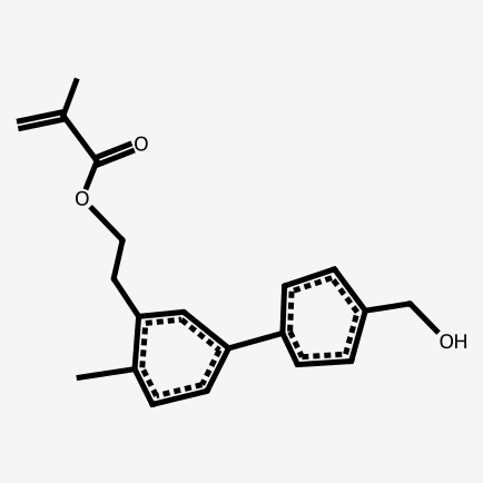 C=C(C)C(=O)OCCc1cc(-c2ccc(CO)cc2)ccc1C